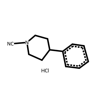 Cl.N#CN1CCC(c2ccccc2)CC1